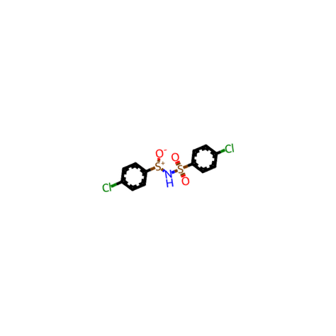 O=S(=O)(N[S+]([O-])c1ccc(Cl)cc1)c1ccc(Cl)cc1